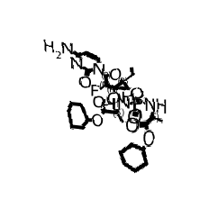 CC[C@]12O[C@@H](n3ccc(N)nc3=O)[C@H](F)[C@@]1(O)C2OP(=O)(N[C@@H](C)C(=O)OC1CCCCC1)N[C@@H](C)C(=O)OC1CCCCC1